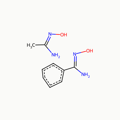 CC(N)=NO.NC(=NO)c1ccccc1